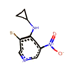 O=[N+]([O-])c1cncc(Br)c1NC1CC1